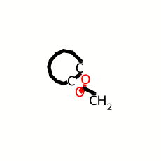 C=CC(=O)OC1CCCCCCCCCCC1